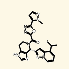 CC(I)c1cccn2nc([C@@H]3c4nc[nH]c4CCN3C(=O)c3nnc(-c4ccnn4C)o3)cc12